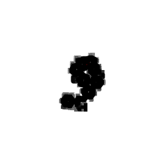 N=C(CCc1ccc(-c2ccc3sc4cc5ccccc5cc4c3c2)c(-c2ccc3c(c2)oc2ccc4ccccc4c23)c1)c1ccccc1